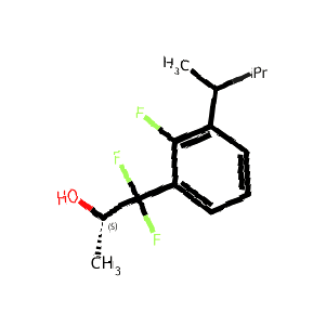 CC(C)C(C)c1cccc(C(F)(F)[C@H](C)O)c1F